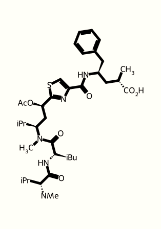 CC[C@H](C)[C@H](NC(=O)[C@H](NC)C(C)C)C(=O)N(C)[C@H](C[C@@H](OC(C)=O)c1nc(C(=O)N[C@@H](Cc2ccccc2)C[C@H](C)C(=O)O)cs1)C(C)C